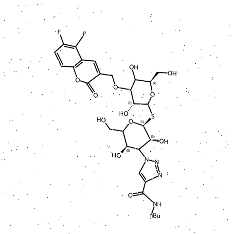 CCCCNC(=O)c1cn(C2[C@@H](O)C(CO)O[C@@H](SC3O[C@H](CO)C(O)C(OCc4cc5c(F)c(F)ccc5oc4=O)[C@H]3O)[C@H]2O)nn1